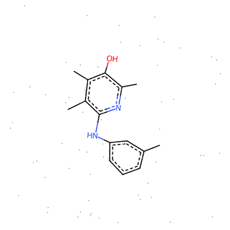 Cc1cccc(Nc2nc(C)c(O)c(C)c2C)c1